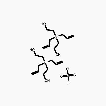 C=CC[N+](CC=C)(CCO)CCO.C=CC[N+](CC=C)(CCO)CCO.O=S(=O)([O-])[O-]